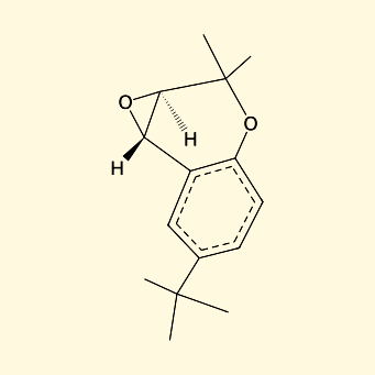 CC(C)(C)c1ccc2c(c1)[C@@H]1O[C@H]1C(C)(C)O2